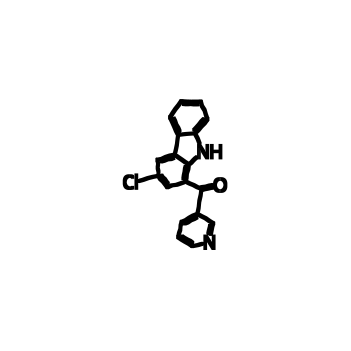 O=C(c1cccnc1)c1cc(Cl)cc2c1[nH]c1ccccc12